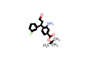 CC(C)(C)OC(=O)c1ccc(C(CC=O)c2cccc(F)c2)c(N)c1